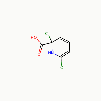 O=C(O)C1(Cl)C=CC=C(Cl)N1